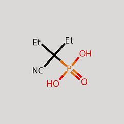 CCC(C#N)(CC)P(=O)(O)O